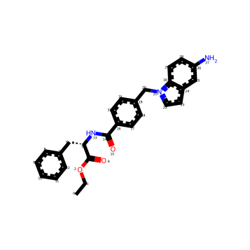 CCOC(=O)[C@H](Cc1ccccc1)NC(=O)c1ccc(Cn2ccc3cc(N)ccc32)cc1